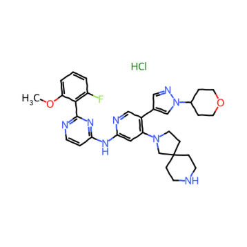 COc1cccc(F)c1-c1nccc(Nc2cc(N3CCC4(CCNCC4)C3)c(-c3cnn(C4CCOCC4)c3)cn2)n1.Cl